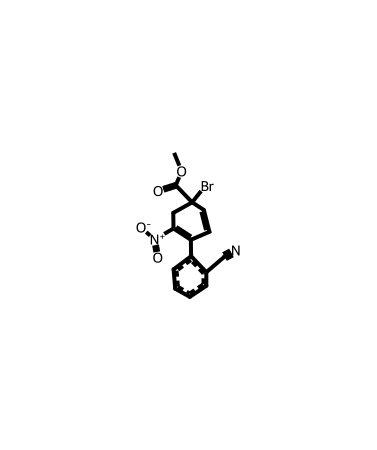 COC(=O)C1(Br)C=CC(c2ccccc2C#N)=C([N+](=O)[O-])C1